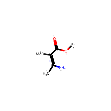 CCOC(=O)/C(OC)=C(/C)N